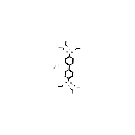 CCO[Si](OCC)(OCC)c1ccc(-c2ccc([Si](OCC)(OCC)OCC)cc2)cc1.[SiH3][SiH3]